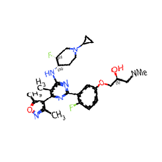 CNC[C@H](O)COc1ccc(F)c(-c2nc(N[C@H]3CCN(C4CC4)C[C@H]3F)c(C)c(-c3c(C)noc3C)n2)c1